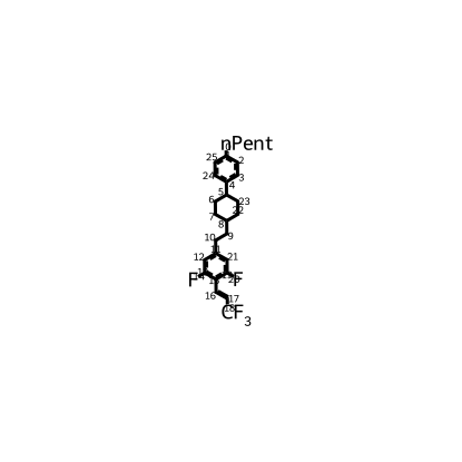 CCCCCc1ccc(C2CCC(CCc3cc(F)c(/C=C/C(F)(F)F)c(F)c3)CC2)cc1